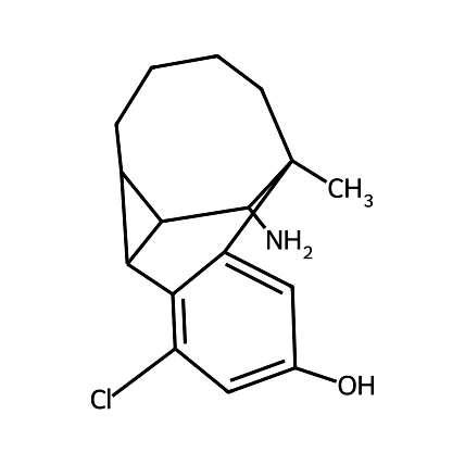 CC12CCCCC3C(c4c(Cl)cc(O)cc41)C3C2N